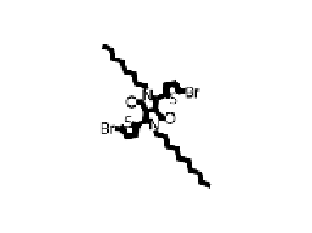 CCCCCCCCCCN1C(=O)C2=C(c3ccc(Br)s3)N(CCCCCCCC)C(=O)C2=C1c1ccc(Br)s1